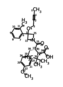 CC#CCOC1(c2ccccc2C)CN(C(=O)[C@@H](Cc2ccc(OC)cc2)N(C(=O)O)C(C)(C)C)C1